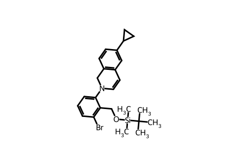 CC(C)(C)[Si](C)(C)OCc1c(Br)cccc1N1C=Cc2cc(C3CC3)ccc2C1